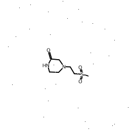 CS(=O)(=O)CCN1CCNC(=O)C1